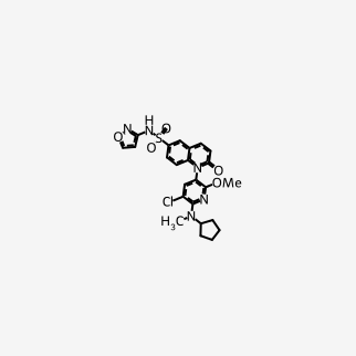 COc1nc(N(C)C2CCCC2)c(Cl)cc1-n1c(=O)ccc2cc(S(=O)(=O)Nc3ccon3)ccc21